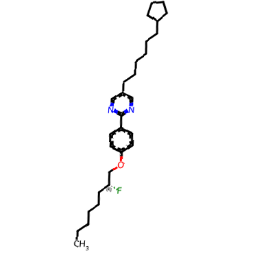 CCCCCC[C@@H](F)COc1ccc(-c2ncc(CCCCCCC3CCCC3)cn2)cc1